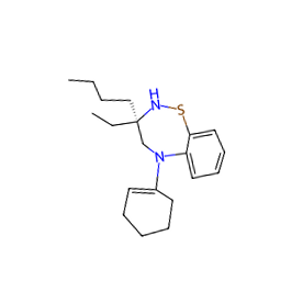 CCCC[C@@]1(CC)CN(C2=CCCCC2)c2ccccc2SN1